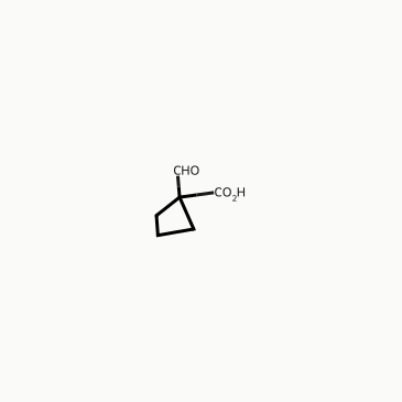 O=CC1(C(=O)O)CCC1